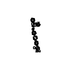 CC[C@H](C)n1ncn(-c2ccc(N3CCN(c4ccc(OC[C@@H]5CO[C@@](Cn6nccn6)(c6ccccc6)O5)cc4)CC3)cc2)c1=O